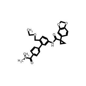 CCOCc1ccc(NC(=O)C2(c3ccc4c(c3)OCO4)CC2)cc1-c1ccc(C(=O)N(C)C)cc1